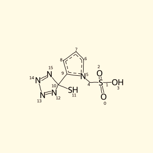 O=S(=O)(O)Cn1cccc1C1(S)N=NN=N1